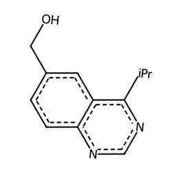 CC(C)c1ncnc2ccc(CO)cc12